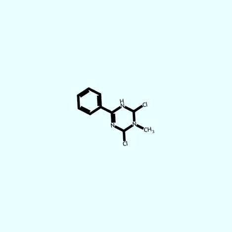 CN1C(Cl)N=C(c2ccccc2)NC1Cl